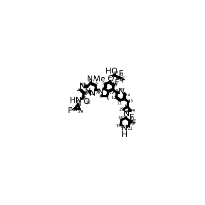 CNc1cc(N2CCc3c(-c4ccc(CC5CN(C6CCNCC6(F)F)C5)cn4)cccc32)nn2c(C(=O)N[C@@H]3C[C@@H]3F)cnc12.O=C(O)C(F)(F)F